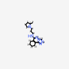 CC1CCCN1CCCNc1nn2cnnc2c2c1CCCC2